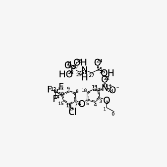 CCOc1cc(Oc2ccc(C(F)(F)F)cc2Cl)ccc1[N+](=O)[O-].O=C(O)CNCP(=O)(O)O